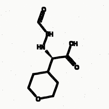 O=CBN[C@H](C(=O)O)C1CCOCC1